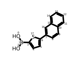 OB(O)c1ccc(-c2ccc3ccccc3c2)s1